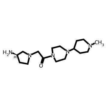 CN1CCC(N2CCN(C(=O)CN3CC[C@@H](N)C3)CC2)CC1